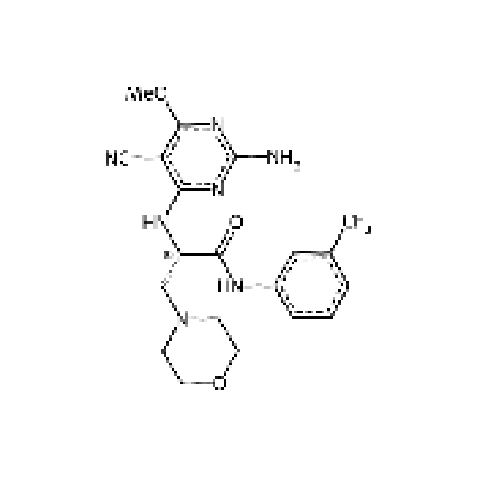 COc1nc(N)nc(N[C@@H](CN2CCOCC2)C(=O)Nc2cccc(C(F)(F)F)c2)c1C#N